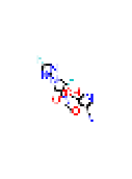 N#Cc1cncc2c1OCCN(C(=O)C1(O)CCN(c3ncc(F)cn3)CC1F)C2